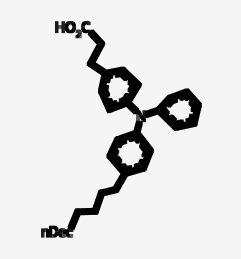 CCCCCCCCCCCCCCc1ccc(N(c2ccccc2)c2ccc(CCC(=O)O)cc2)cc1